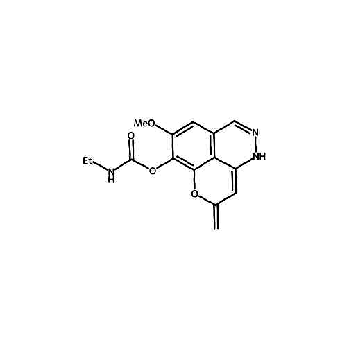 C=c1cc2[nH]ncc3cc(OC)c(OC(=O)NCC)c(o1)c3-2